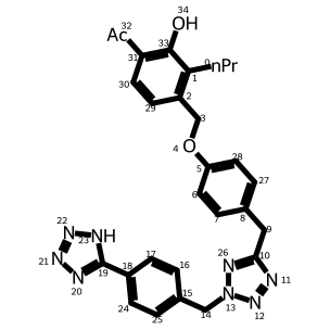 CCCc1c(COc2ccc(Cc3nnn(Cc4ccc(-c5nnn[nH]5)cc4)n3)cc2)ccc(C(C)=O)c1O